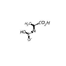 C[C@H](N=[P+]([O-])O)C(=O)O